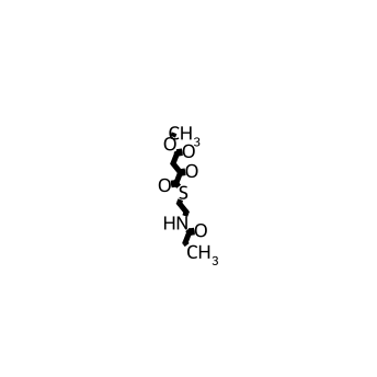 CCC(=O)NCCSC(=O)C(=O)CC(=O)OC